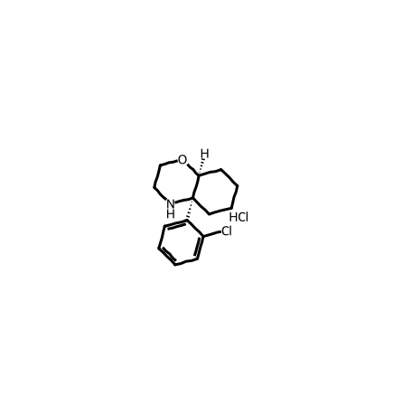 Cl.Clc1ccccc1[C@@]12CCCC[C@@H]1OCCN2